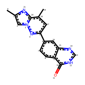 Cc1cn2nc(-c3ccc4c(=O)[nH]cnc4c3)cc(C)c2n1